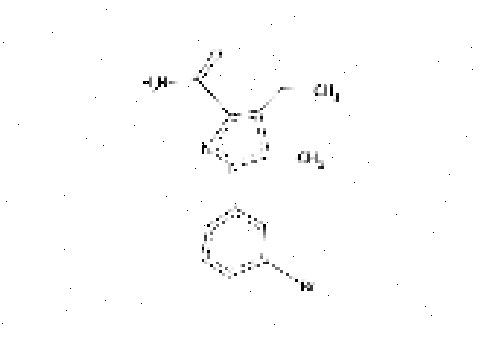 CCc1c(C(N)=O)nn(-c2cccc(Br)c2)c1C